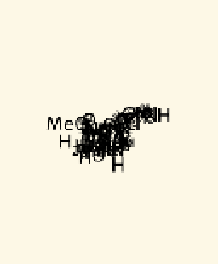 C=C[C@@H]1CC1(NC(=O)[C@@H]1C[C@@H](Oc2cc(C3CSC(NC(C)C)=N3)nc3c(Cl)c(OCCN4CCNCC4)ccc23)CN1C(=O)[C@@H](NC(=O)O[C@@H]1C[C@@H]2C[C@@H]2C1)C(C)(C)C)C(=O)OC